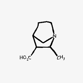 CC1C(C(=O)O)C2CCN1C2